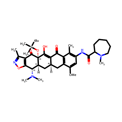 COc1cc(NC(=O)C2CCCCCN2C)c(C)c2c1C[C@H]1C[C@H]3[C@H](N(C)C)c4onc(C)c4C(=O)[C@@]3(O[Si](C)(C)C(C)(C)C)C(O)=C1C2=O